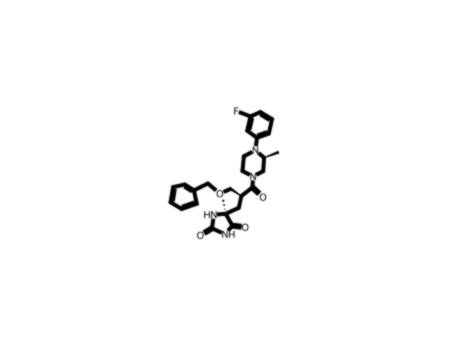 C[C@H]1CN(C(=O)[C@H](COCc2ccccc2)C[C@]2(C)NC(=O)NC2=O)CCN1c1cccc(F)c1